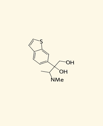 CNC(C)C(O)(CO)c1ccc2ccsc2c1